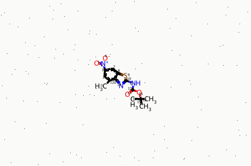 Cc1cc([N+](=O)[O-])cc2sc(NC(=O)OC(C)(C)C)nc12